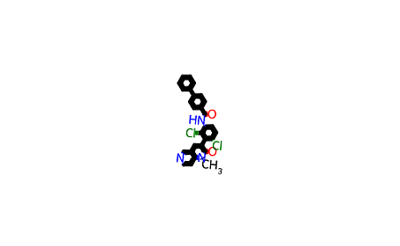 Cn1c(=O)c(-c2c(Cl)ccc(NC(=O)c3ccc(-c4ccccc4)cc3)c2Cl)cc2cnccc21